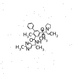 C=CC(N1CCCC1)S(=O)(=O)c1cc(-c2ccccc2)c(C)c(C(=O)NC(C)c2cnc(C)nc2)c1C